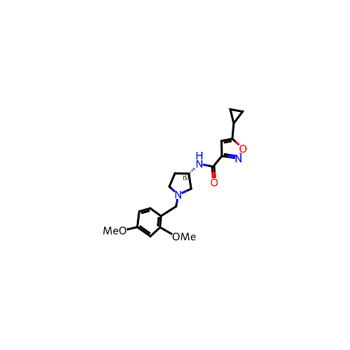 COc1ccc(CN2CC[C@H](NC(=O)c3cc(C4CC4)on3)C2)c(OC)c1